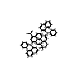 CC(C)c1cc(N(c2ccccc2)c2cccc3ccccc23)c2cc3c4c(cc(N(c5ccccc5)c5cccc6ccccc56)c5ccc1c2c54)CCC3(C)C